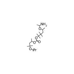 CC(C)OC(C)(C)CC(C)OC(=O)OC(C)(C)C(C)(C)CC(C)OC(C)N